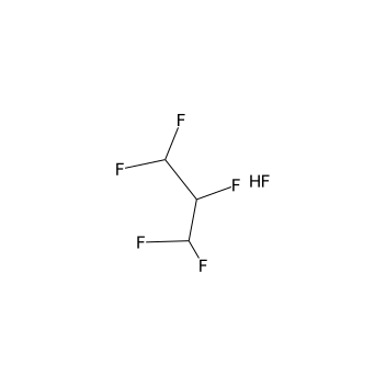 F.FC(F)C(F)C(F)F